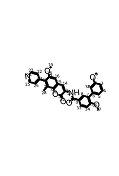 COc1cccc(-c2cc(C(=O)Nc3cc4cc(OC)c(-c5ccncc5)c(C)c4oc3=O)ccc2OC)c1